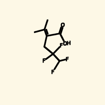 CC(C)=C(CC(F)(F)C(F)F)C(=O)O